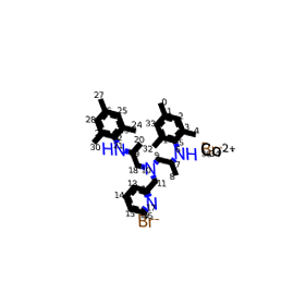 Cc1cc(C)c(NC(C)CN(Cc2ccccn2)CC(C)Nc2c(C)cc(C)cc2C)c(C)c1.[Br-].[Br-].[Co+2]